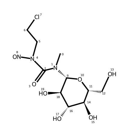 CN(C(=O)N(CCCl)N=O)[C@@H]1O[C@H](CO)[C@@H](O)[C@H](O)[C@H]1O